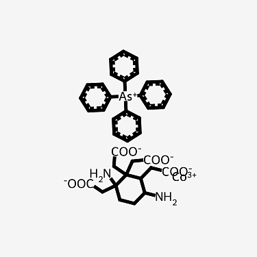 NC1CCC(N)(CC(=O)[O-])C(CC(=O)[O-])(CC(=O)[O-])C1CC(=O)[O-].[Co+3].c1ccc([As+](c2ccccc2)(c2ccccc2)c2ccccc2)cc1